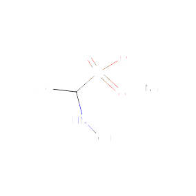 CNC(C)S(=O)(=O)[O-].[Na+]